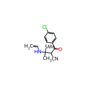 C=CNC(C)(SC)C(C#N)C(=O)c1ccc(Cl)cc1